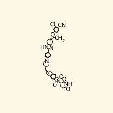 C=C(Oc1ccc(C#N)c(Cl)c1)[C@@H]1CCc2[nH]c(-c3ccc(N4CCC(CN5Cc6cc7c(cc6C5)C(=O)N(C5CCC(=O)NC5=O)C7=O)CC4)cc3)nc2C1